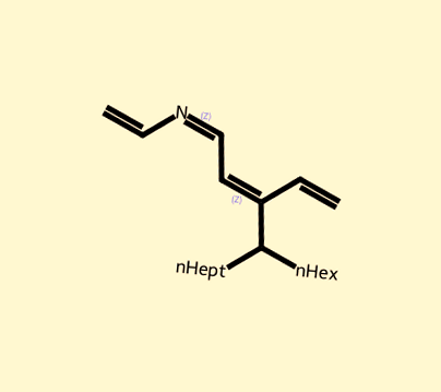 C=C/N=C\C=C(/C=C)C(CCCCCC)CCCCCCC